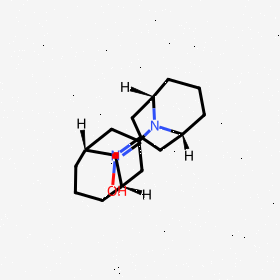 O/N=C1\C[C@H]2CCC[C@@H](C1)N2C1C[C@H]2CCC[C@@H](C1)C2